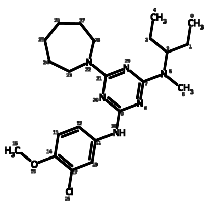 CCC(CC)N(C)c1nc(Nc2ccc(OC)c(Cl)c2)nc(N2CCCCCC2)n1